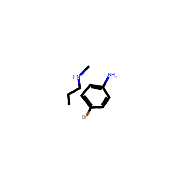 CCCNC.Nc1ccc(Br)cc1